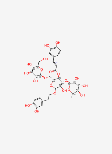 C[C@@H]1O[C@@H](O[C@H]2[C@H](OC(=O)/C=C/c3ccc(O)c(O)c3)[C@@H](CO[C@@H]3O[C@H](CO)[C@@H](O)[C@H](O)[C@H]3O)OC(OCCc3ccc(O)c(O)c3)[C@@H]2O)[C@H](O)[C@H](O)[C@H]1O